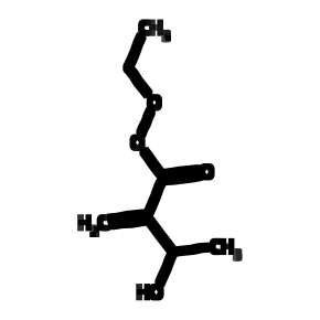 C=C(C(=O)OOCC)C(C)O